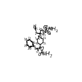 N#CCC1(N2CCC([C@]3(OC(N)=O)C[C@H]3c3ccccc3)CC2)CN(S(N)(=O)=O)C1